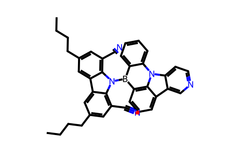 CCCCc1cc(C#N)c2c(c1)c1cc(CCCC)cc(C#N)c1n2B1c2ccccc2-n2c3ccncc3c3cccc1c32